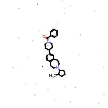 CC1CCCC1N1CCc2ccc(C3CCN(C(=O)c4ccccc4)CC3)cc2CC1